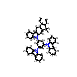 C=CC1=C(C=C)C(C)(C)c2cc3c(cc21)c1ccccc1n3-c1cc(-n2c3ccccc3c3ccccc32)cc(-n2c3ccccc3c3ccccc32)c1